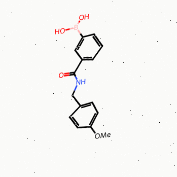 COc1ccc(CNC(=O)c2cccc(B(O)O)c2)cc1